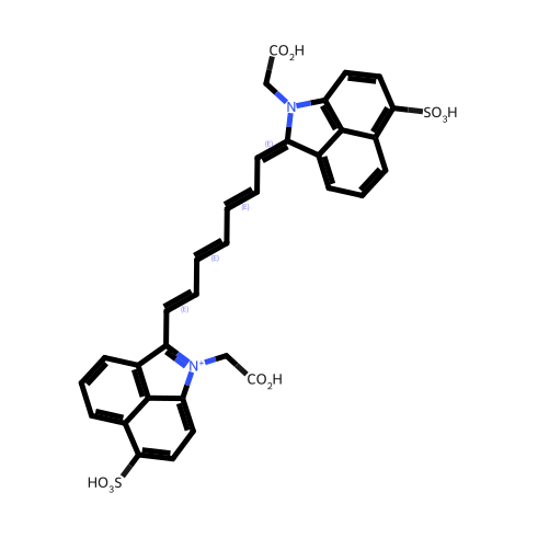 O=C(O)Cn1/c(=C/C=C/C=C/C=C/C2=[N+](CC(=O)O)c3ccc(S(=O)(=O)O)c4cccc2c34)c2cccc3c(S(=O)(=O)O)ccc1c32